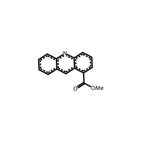 COC(=O)c1cccc2nc3ccccc3cc12